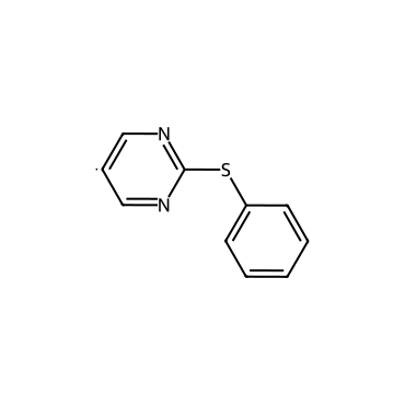 [c]1cnc(Sc2ccccc2)nc1